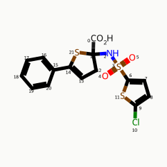 O=C(O)C1(NS(=O)(=O)c2ccc(Cl)s2)CC=C(c2ccccc2)S1